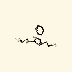 C=CCNc1nc(CC=C)c[nH]1.c1ccncc1